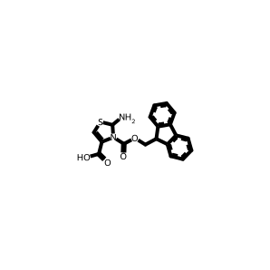 NC1SC=C(C(=O)O)N1C(=O)OCC1c2ccccc2-c2ccccc21